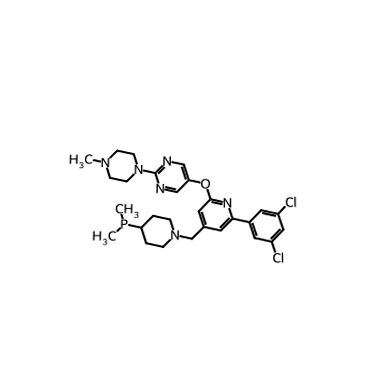 CN1CCN(c2ncc(Oc3cc(CN4CCC(P(C)C)CC4)cc(-c4cc(Cl)cc(Cl)c4)n3)cn2)CC1